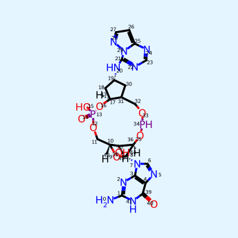 Nc1nc2c(ncn2[C@@H]2O[C@@H]3COP(=O)(O)O[C@H]4C[C@H](Nc5ncnc6ccnn56)CC4COPO[C@@H]2[C@@H]3O)c(=O)[nH]1